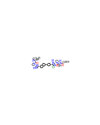 COC(=O)N[C@H](C(=O)N1CCC[C@H]1c1nc(Cl)c(-c2ccc(-c3ccc4cc(-c5c[nH]c([C@@H]6CCCN6C(=O)[C@H](C(C)C)N(C)C(=O)O)n5)ccc4c3)cc2)[nH]1)C(C)C